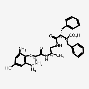 Cc1cc(O)cc(C)c1C[C@H](N)C(=O)N[C@H](C)CNC(=O)[C@H](Cc1ccccc1)N(Cc1ccccc1)C(=O)O